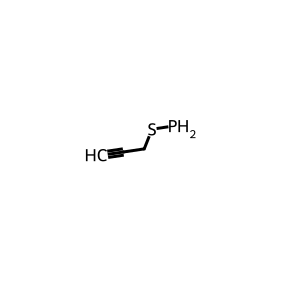 C#CCSP